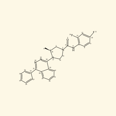 C[C@H]1CN(C(=O)Nc2ccc(F)cc2F)CCN1c1nnc(-c2ccccc2)c2ccccc12